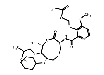 COc1ccnc(C(=O)N[C@H]2COC[C@H](OC3CCCCC3)[C@@H](OCC(C)C)[C@H](C)OC2=O)c1OCOC(C)=O